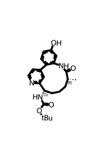 C[C@@H]1CCC[C@H](NC(=O)OC(C)(C)C)c2cc(ccn2)-c2ccc(O)cc2NC1=O